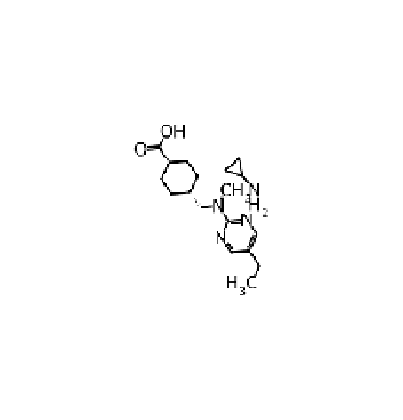 CCc1cnc(N(C)C[C@H]2CC[C@H](C(=O)O)CC2)nc1.NC1CC1